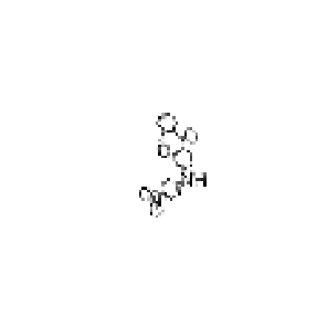 O=C1c2ccccc2COc2cc(Nc3ccc([N+](=O)[O-])cc3)ccc21